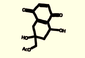 CC(=O)OCC1(O)CC2=C(C(=O)C=CC2=O)C(O)C1